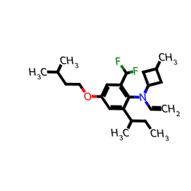 C=CN(c1c(C(F)F)cc(OCCC(C)C)cc1C(C)CC)C1CC(C)C1